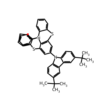 CC(C)(C)c1ccc2c(c1)c1cc(C(C)(C)C)ccc1n2-c1cc2c3c(c1)Sc1ccccc1[Si]3(c1ccccc1)c1ccccc1S2